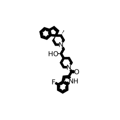 C[C@@H]1CN(C[C@@H](O)C2CCN(C(=O)c3cc4c(F)cccc4[nH]3)CC2)CC[C@@]12C=Cc1ccccc12